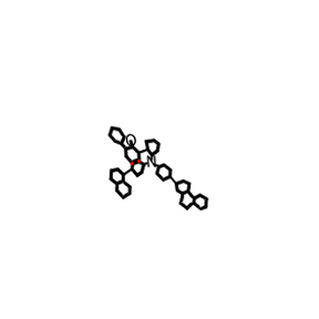 c1ccc(N(c2ccc(-c3ccc4c(ccc5ccccc54)c3)cc2)c2ccc(-c3cccc4ccccc34)cc2)c(-c2cccc3c2oc2ccccc23)c1